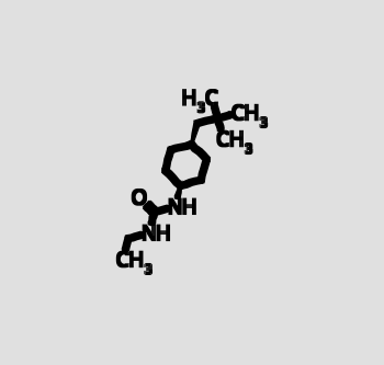 CCNC(=O)N[C@H]1CC[C@@H](CC(C)(C)C)CC1